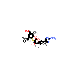 Cc1cc(SC2=C(O)CC(CCc3cnc(N)nc3)(C(C)C)OC2=O)c(C(C)(C)C)cc1CO